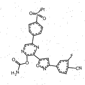 CC(C)S(=O)(=O)c1ccc(-c2cnc(OC(N)=O)c(-c3cc(-c4ccc(C#N)c(F)c4)no3)n2)cc1